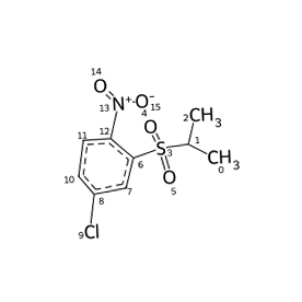 CC(C)S(=O)(=O)c1cc(Cl)ccc1[N+](=O)[O-]